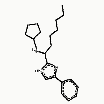 CCCCCCC(NC1CCCC1)c1nc(-c2ccccc2)c[nH]1